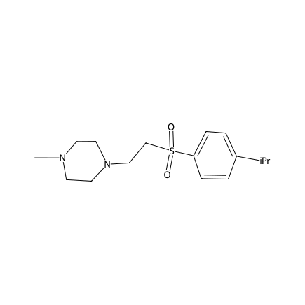 CC(C)c1ccc(S(=O)(=O)CCN2CCN(C)CC2)cc1